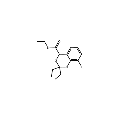 CCOC(=O)C1OC(CC)(CC)Oc2c(Cl)cccc21